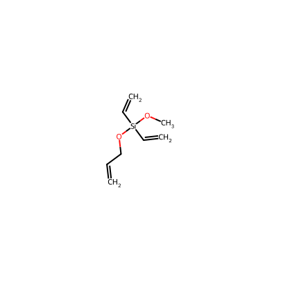 C=CCO[Si](C=C)(C=C)OC